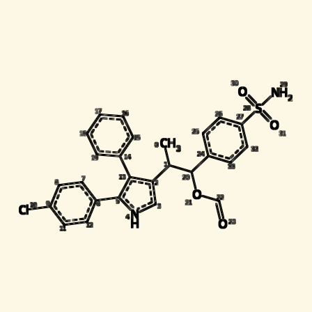 CC(c1c[nH]c(-c2ccc(Cl)cc2)c1-c1ccccc1)C(OC=O)c1ccc(S(N)(=O)=O)cc1